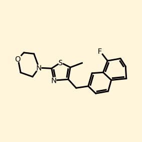 Cc1sc(N2CCOCC2)nc1Cc1ccc2cccc(F)c2c1